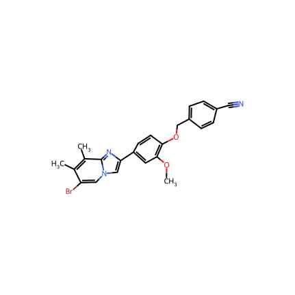 COc1cc(-c2cn3cc(Br)c(C)c(C)c3n2)ccc1OCc1ccc(C#N)cc1